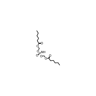 CCCCCC(=O)OCOP([NH])(=O)OCOC(=O)CCCCC